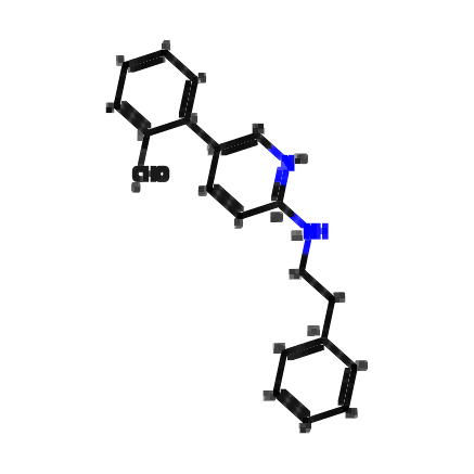 O=Cc1ccccc1-c1ccc(NCCc2ccccc2)nc1